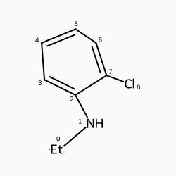 C[CH]Nc1ccccc1Cl